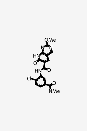 CNC(=O)c1ccc(Cl)c(NC(=O)c2cc3cnc(OC)nc3[nH]c2=O)c1